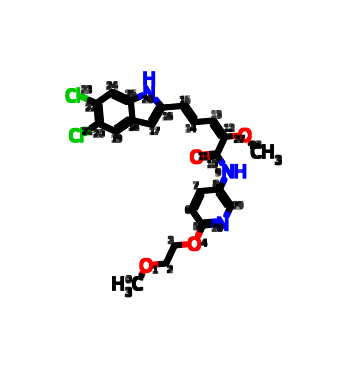 COCCOc1ccc(NC(=O)/C(=C\C=C\c2cc3cc(Cl)c(Cl)cc3[nH]2)OC)cn1